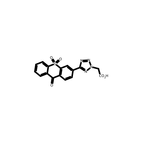 O=C(O)Cn1nnc(-c2ccc3c(c2)S(=O)(=O)c2ccccc2C3=O)n1